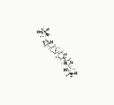 c1cc(-c2cnc(C3C[C@@H]4C[C@@H]4N3)[nH]2)ccc1-c1ccc(-c2cnc(C3C[C@@H]4C[C@@H]4N3)[nH]2)cc1